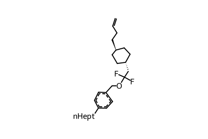 C=CCC[C@H]1CC[C@H](CC(F)(F)OCc2ccc(CCCCCCC)cc2)CC1